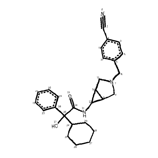 N#Cc1ccc(CN2CC3C(C2)C3NC(=O)C(O)(c2ccccc2)C2CCCCC2)cc1